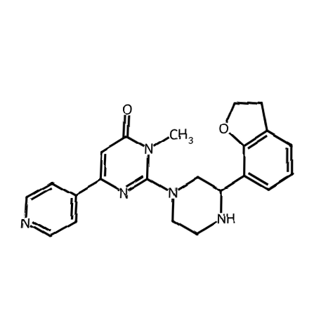 Cn1c(N2CCNC(c3cccc4c3OCC4)C2)nc(-c2ccncc2)cc1=O